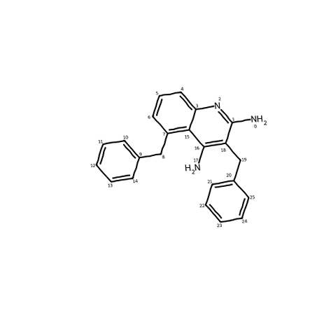 Nc1nc2cccc(Cc3ccccc3)c2c(N)c1Cc1ccccc1